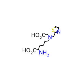 NC(CCCCN(CC(=O)O)Cc1nccs1)C(=O)O